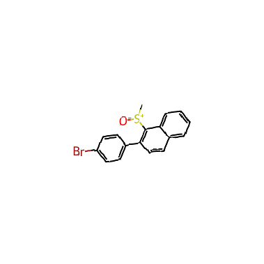 C[S+]([O-])c1c(-c2ccc(Br)cc2)ccc2ccccc12